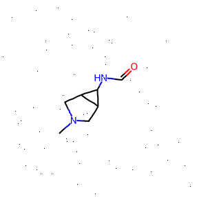 CN1CC2C(C1)C2NC=O